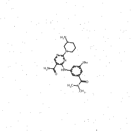 CN(C)C(=O)c1cc(Nc2nc(N3CCCC(N)C3)ncc2C(N)=O)cc(C(C)(C)C)c1